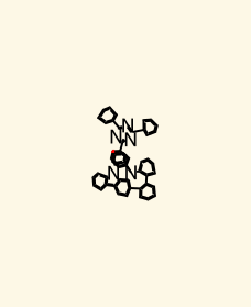 c1ccc(-c2nc(-c3ccccc3)nc(-c3ccc(-n4c5ccccc5c5ccc6c(c54)N(c4ccccc4)c4ccccc4-c4ccccc4-6)cc3)n2)cc1